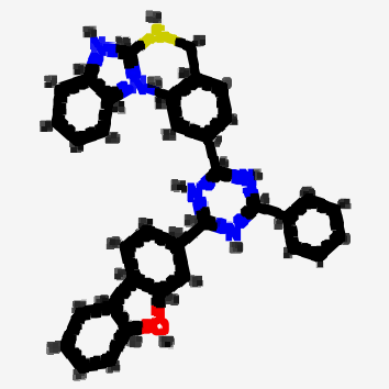 c1ccc(-c2nc(-c3ccc4c(c3)-n3c(nc5ccccc53)SC4)nc(-c3ccc4c(c3)oc3ccccc34)n2)cc1